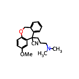 COc1ccc2c(c1)C(C#N)(CCCN(C)C)c1ccccc1CO2